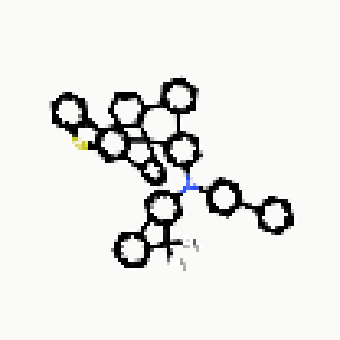 CC1(C)c2ccccc2-c2ccc(N(c3ccc(-c4ccccc4)cc3)c3ccc4c(c3)C3(C5=C(C=CCC5)c5ccccc5-4)c4ccccc4-c4cc5sc6ccccc6c5cc43)cc21